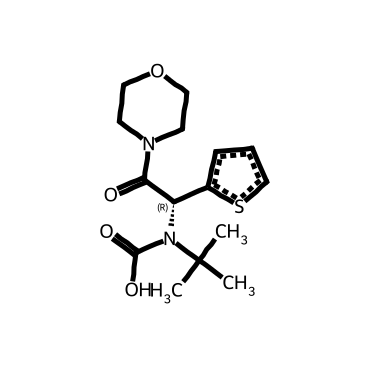 CC(C)(C)N(C(=O)O)[C@H](C(=O)N1CCOCC1)c1cccs1